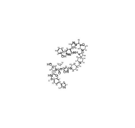 Cc1ncsc1-c1ccc([C@H](C)NC(=O)[C@@H]2C[C@@H](O)CN2C(=O)[C@@H](c2cc(N3CCC(CN4CCC5(CC4)CC(N4CCO[C@@H](C(C)n6cc(-c7cc(-c8ccccc8O)nnc7N)cn6)C4)C5)CC3)no2)C(C)C)cc1